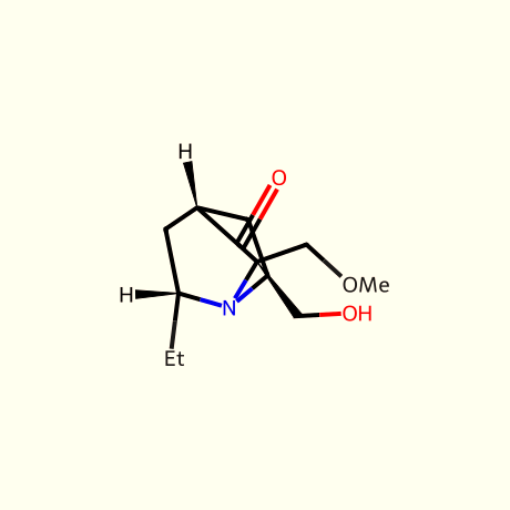 CC[C@@H]1C[C@@H]2CCN1[C@@](CO)(COC)C2=O